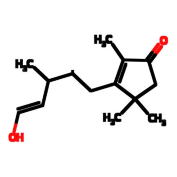 CC1=C(C[CH]C(C)C=CO)C(C)(C)CC1=O